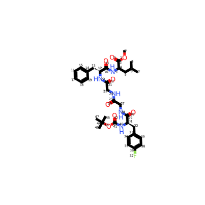 COC(=O)C(CC(C)C)NC(=O)[C@@H](Cc1ccccc1)NC(=O)CNC(=O)CNC(=O)[C@@H](Cc1ccc(F)cc1)NC(=O)OC(C)(C)C